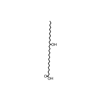 CCCCCCCCCCCC(O)CCCCCCCCCCCCCCC(=O)O